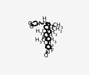 C=C(C)[C@@H]1CC[C@]2(NCCN3CCS(=O)(=O)CC3)CC[C@]3(C)[C@H](CC[C@@H]4[C@@]5(C)CC=C(c6ccc(OC=O)c(F)c6)C(C)(C)[C@@H]5CC[C@]43C)[C@@H]12